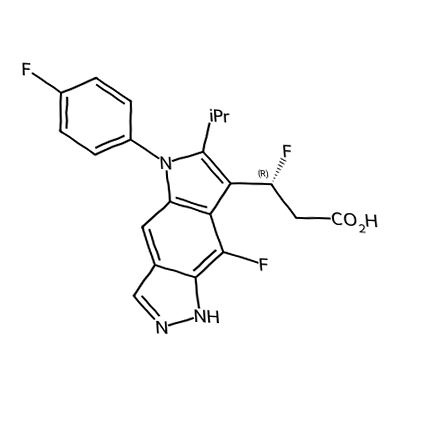 CC(C)c1c([C@H](F)CC(=O)O)c2c(F)c3[nH]ncc3cc2n1-c1ccc(F)cc1